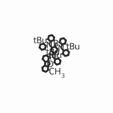 Cc1cccc2c1oc1c(N(c3ccccc3)c3cc4c5c(c3)N(c3ccccc3C(C)(C)C)c3c(cccc3C(C)(C)C)B5c3cccc(C(C)(C)C)c3N4c3ccccc3C(C)(C)C)cccc12